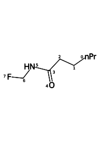 CCCCCC(=O)NCF